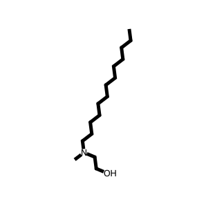 CCCCCCCCCCCCCN(C)CCO